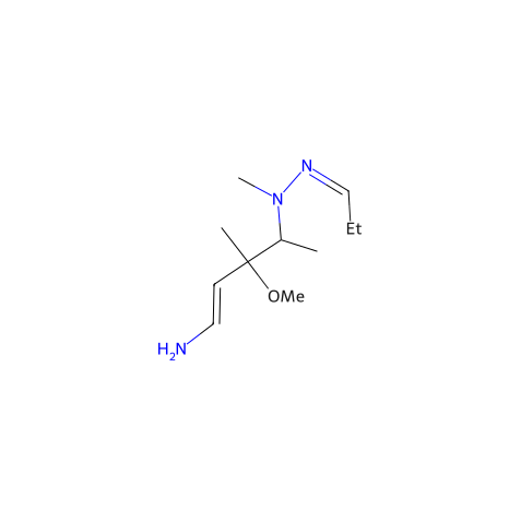 CC/C=N\N(C)C(C)C(C)(/C=C/N)OC